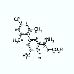 Cc1cc(-c2c(C)cc(Cl)cc2C)cc([C@@H](N)CC(=O)O)c1F